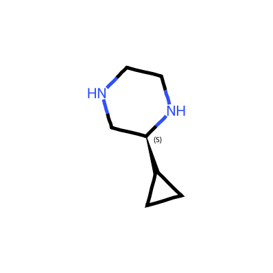 C1CN[C@@H](C2CC2)CN1